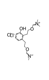 C[N+](C)=COCCc1cccc(O)c1CCOC=[N+](C)C.[Cl-].[Cl-]